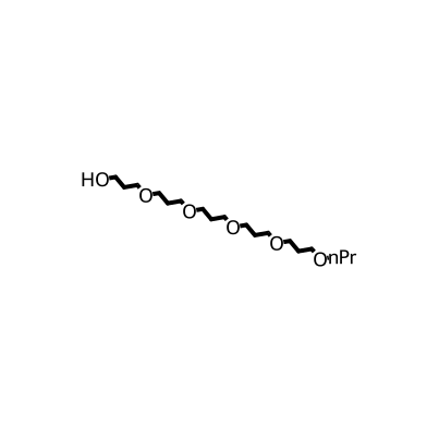 CCCOCCCOCCCOCCCOCCCOCCCO